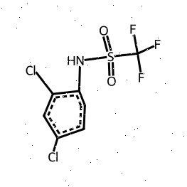 O=S(=O)(Nc1ccc(Cl)cc1Cl)C(F)(F)F